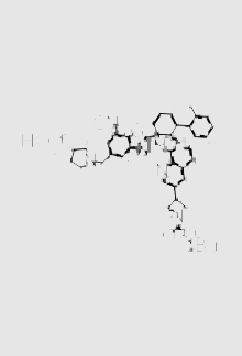 Cc1ccccc1C1=CC=CC(Nc2nccc3cc(C4CN(C(=O)OC(C)(C)C)C4)cnc23)(c2nc3cc(CN4CC[C@@H](C(=O)O)C4)cc(C#N)c3o2)C1C